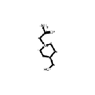 NC(=O)CN1CCC(CO)CC1